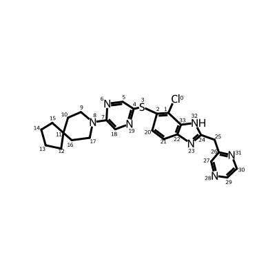 Clc1c(Sc2cnc(N3CCC4(CCCC4)CC3)cn2)ccc2nc(Cc3cnccn3)[nH]c12